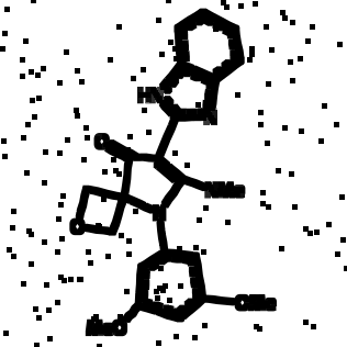 CNC1=C(c2nc3ccccc3[nH]2)C(=O)C2(COC2)N1c1cc(OC)cc(OC)c1